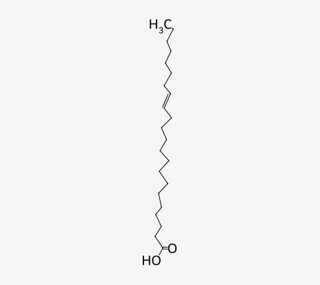 CCCCCCCC=CCCCCCCCCCCCCC(=O)O